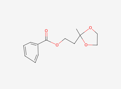 CC1(CCOC(=O)c2ccccc2)OCCO1